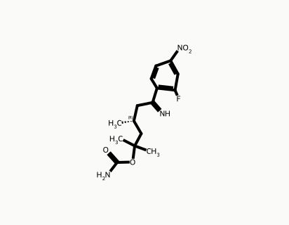 C[C@H](CC(=N)c1ccc([N+](=O)[O-])cc1F)CC(C)(C)OC(N)=O